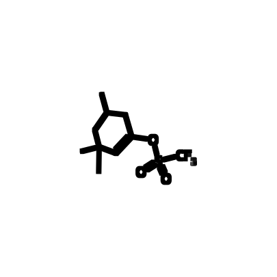 CC1CC(OS(=O)(=O)C(F)(F)F)=CC(C)(C)C1